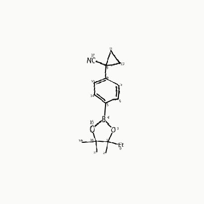 CCC1(C)OB(c2ccc(C3(C#N)CC3)cc2)OC1(C)C